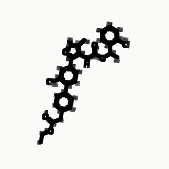 CCOC(=O)Cc1ccc(-c2ccc(-c3onc(C)c3NC(=O)OC(C)c3ccccc3Cl)cc2Cl)cc1